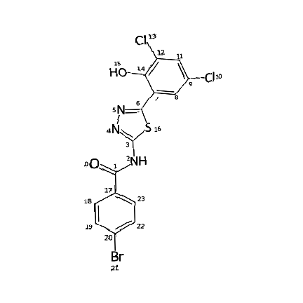 O=C(Nc1nnc(-c2cc(Cl)cc(Cl)c2O)s1)c1ccc(Br)cc1